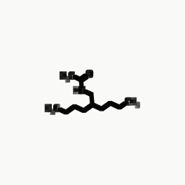 CCCCC(CCCC)CNC(C)=O